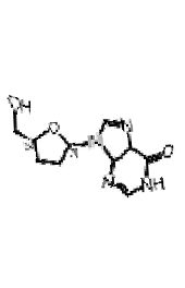 O=C1NC=NC2C1N=CN2[C@H]1CC[C@@H](CO)O1